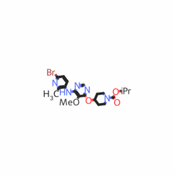 COc1c(Nc2ccc(Br)nc2C)ncnc1OC1CCN(C(=O)OC(C)C)CC1